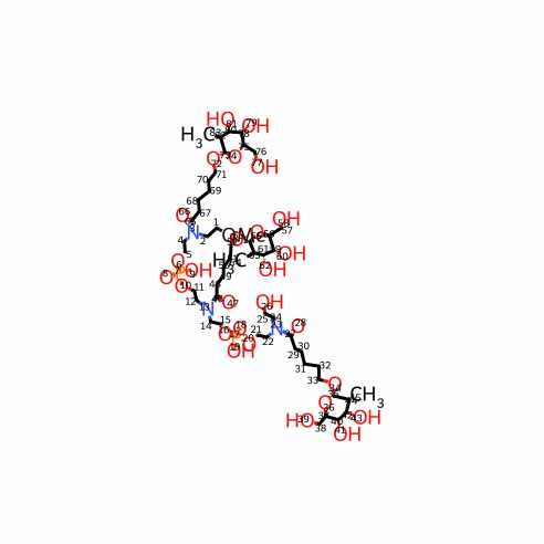 COCCN(CCOP(=O)(O)OCCN(CCOP(=O)(O)OCCN(CCO)C(=O)CCCCCO[C@@H]1OC(CO)[C@H](O)[C@H](O)C1C)C(=O)CCCCCO[C@@H]1OC(CO)[C@H](O)[C@H](O)C1C)C(=O)CCCCCO[C@@H]1OC(CO)[C@H](O)[C@H](O)C1C